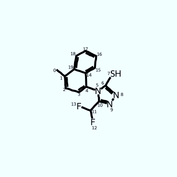 Cc1ccc(-n2c(S)nnc2C(F)F)c2ccccc12